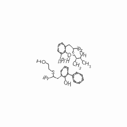 CC(C)C(Cc1cccc(-c2ccccc2)c1O)SCCO.CCCc1cccc(CC(SC(C)C(C)O)C(C)C)c1O